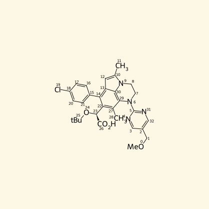 COCc1cnc(N2CCn3c(C)cc4c(-c5ccc(Cl)cc5)c([C@H](OC(C)(C)C)C(=O)O)c(C)c2c43)nc1